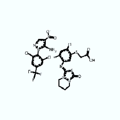 Nc1c([N+](=O)[O-])cnn1-c1c(Cl)cc(C(F)(F)F)cc1Cl.O=C(O)CSc1cc(N=c2sc(=O)n3n2CCCC3)c(F)cc1Cl